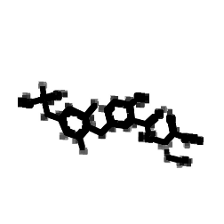 COC(=O)[C@H](CC(C)C)NC(=O)c1cc(Cc2c(C)cc(CP(C)(=O)O)cc2C)ccc1O